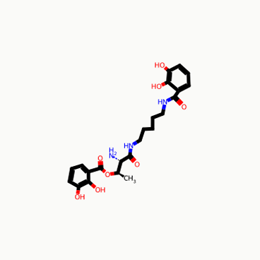 C[C@@H](OC(=O)c1cccc(O)c1O)[C@H](N)C(=O)NCCCCCNC(=O)c1cccc(O)c1O